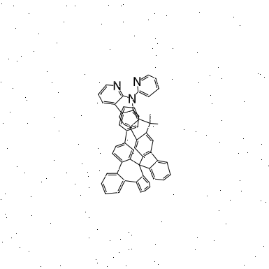 CC1(C)c2ccccc2-c2cc3c(cc21)-c1ccccc1C31c2ccccc2-c2ccccc2-c2ccc(-c3ccc4c(c3)c3cccnc3n4-c3ccccn3)cc21